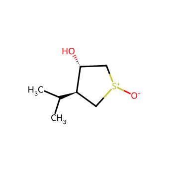 CC(C)[C@@H]1C[S+]([O-])C[C@H]1O